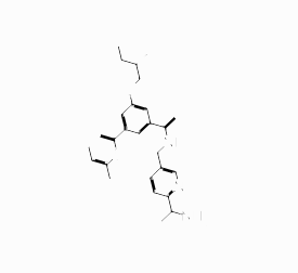 C=C(NCc1ccc(C(C)N)nc1)c1cc(OC[C@H](C)CC)cc(C(=C)S/C(C)=C\C)c1